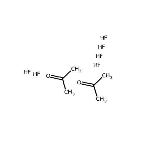 CC(C)=O.CC(C)=O.F.F.F.F.F.F